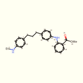 CCNc1ccc(CCCc2ccc(Nc3ccccc3C(=O)OC)cc2)cc1